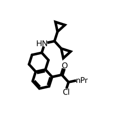 CCCC(Cl)C(=O)c1cccc2c1CC(NC(C1CC1)C1CC1)CC2